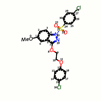 COc1ccc2c(c1)c(OCCOc1ccc(Cl)cc1)nn2S(=O)(=O)c1ccc(Cl)cc1